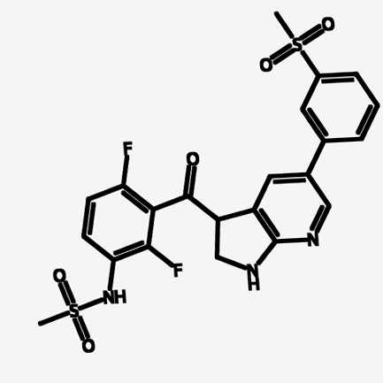 CS(=O)(=O)Nc1ccc(F)c(C(=O)C2CNc3ncc(-c4cccc(S(C)(=O)=O)c4)cc32)c1F